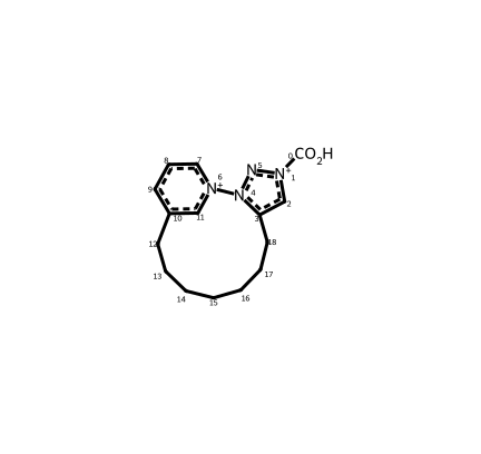 O=C(O)[n+]1cc2n(n1)-[n+]1cccc(c1)CCCCCCC2